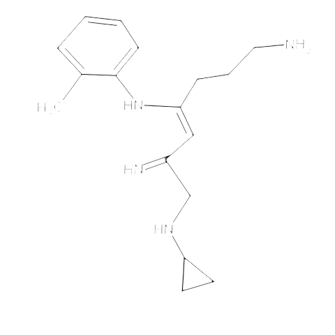 Cc1ccccc1N/C(=C\C(=N)CNC1CC1)CCCN